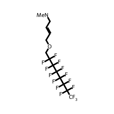 CNCC=CCOCC(F)(F)C(F)(F)C(F)(F)C(F)(F)C(F)(F)C(F)(F)C(F)(F)F